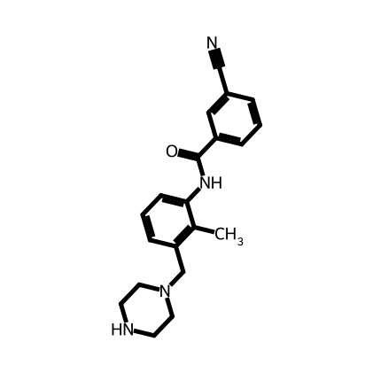 Cc1c(CN2CCNCC2)cccc1NC(=O)c1cccc(C#N)c1